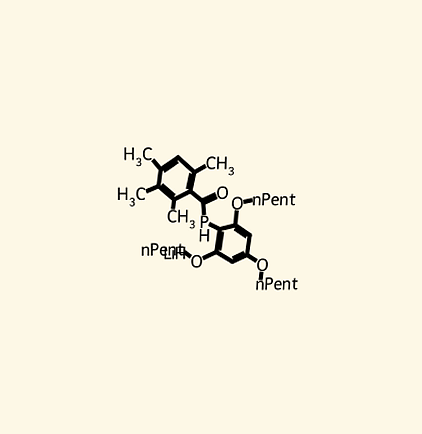 CCCCCOc1cc(OCCCCC)c(PC(=O)c2c(C)cc(C)c(C)c2C)c(OCCCCC)c1.[LiH]